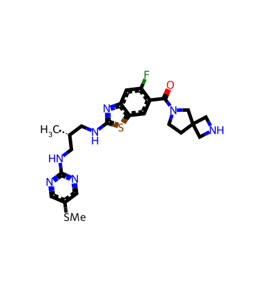 CSc1cnc(NC[C@H](C)CNc2nc3cc(F)c(C(=O)N4CCC5(CNC5)C4)cc3s2)nc1